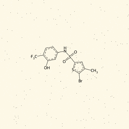 Cc1cc(S(=O)(=O)Nc2ccc(C(F)(F)F)c(O)c2)sc1Br